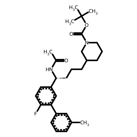 CC(=O)N[C@H](CCCC1CCCN(C(=O)OC(C)(C)C)C1)c1ccc(F)c(-c2cccc(C)c2)c1